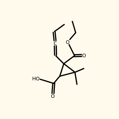 CC=C=CC1(C(=O)OCC)C(C(=O)O)C1(C)C